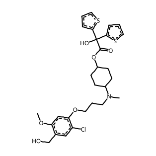 COc1cc(OCCCN(C)C2CCC(OC(=O)C(O)(c3cccs3)c3cccs3)CC2)c(Cl)cc1CO